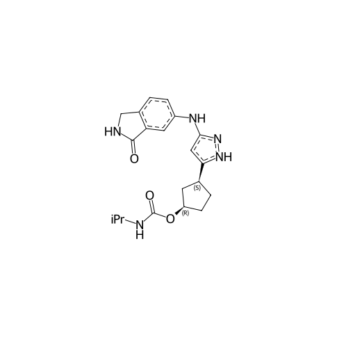 CC(C)NC(=O)O[C@@H]1CC[C@H](c2cc(Nc3ccc4c(c3)C(=O)NC4)n[nH]2)C1